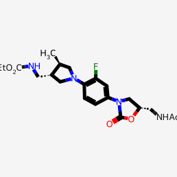 CCOC(=O)NC[C@H]1CN(c2ccc(N3C[C@H](CNC(C)=O)OC3=O)cc2F)C[C@@H]1C